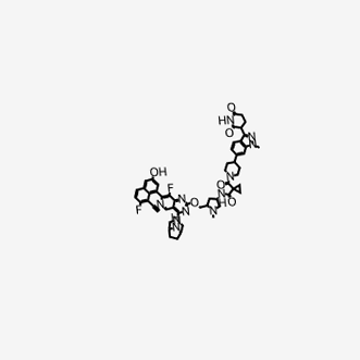 C#Cc1c(F)ccc2cc(O)cc(-c3ncc4c(N5CC6CCC(C5)N6)nc(OCC5C[C@@H](NC(=O)C6(C(=O)N7CCC(c8ccc9c(C%10CCC(=O)NC%10=O)nn(C)c9c8)CC7)CC6)CN5C)nc4c3F)c12